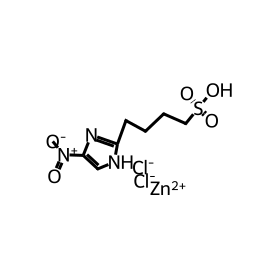 O=[N+]([O-])c1c[nH]c(CCCCS(=O)(=O)O)n1.[Cl-].[Cl-].[Zn+2]